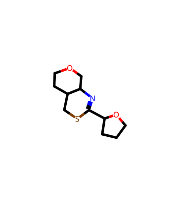 C1COC(C2=NC3COCCC3CS2)C1